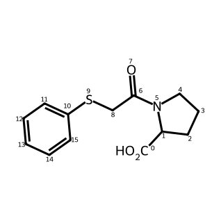 O=C(O)C1CCCN1C(=O)CSc1ccccc1